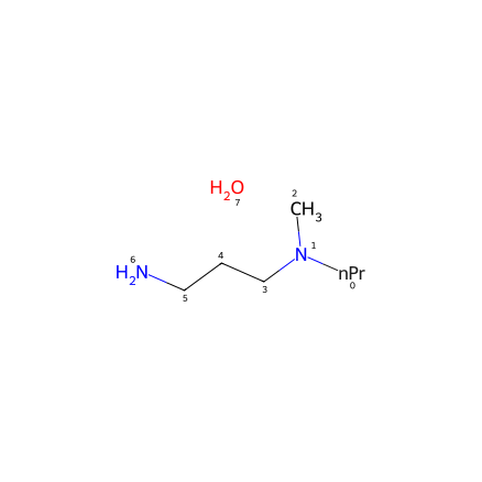 CCCN(C)CCCN.O